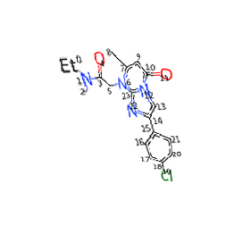 CCN(C)C(=O)Cn1c(C)cc(=O)n2cc(-c3ccc(Cl)cc3)nc12